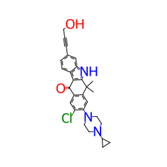 CC1(C)c2cc(N3CCN(C4CC4)CC3)c(Cl)cc2C(=O)c2c1[nH]c1cc(C#CCO)ccc21